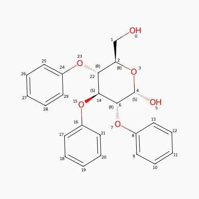 OC[C@H]1O[C@H](O)[C@H](Oc2ccccc2)[C@@H](Oc2ccccc2)[C@@H]1Oc1ccccc1